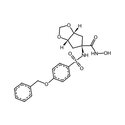 O=C(NO)[C@]1(NS(=O)(=O)c2ccc(OCc3ccccc3)cc2)C[C@@H]2OCO[C@@H]2C1